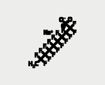 CC(F)(F)C(F)(F)C(F)(F)C(F)(F)C(F)(F)C(F)(F)C(F)(F)C(F)(F)S(=O)(=O)[O-].[Na+]